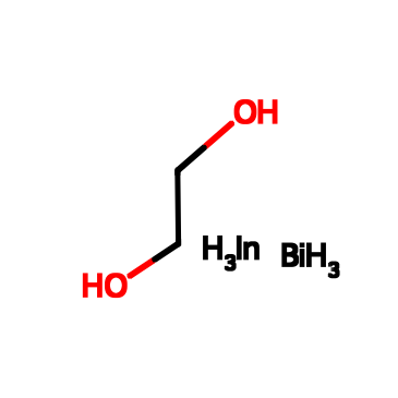 OCCO.[BiH3].[InH3]